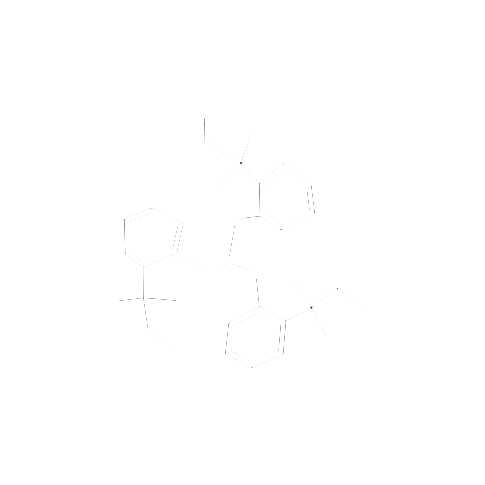 CCC(C)(C)c1ccccc1OP(Oc1ccccc1C(C)(C)CC)Oc1ccccc1C(C)(C)CC